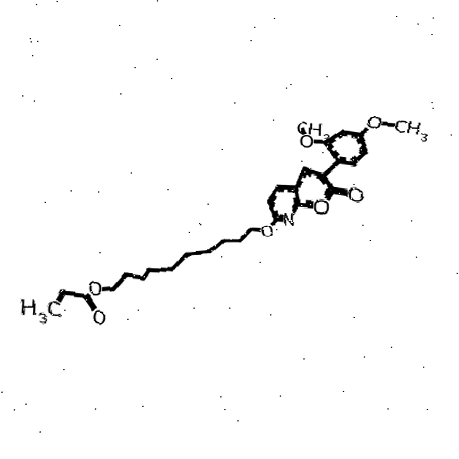 CCC(=O)OCCCCCCCCCCOc1ccc2cc(-c3ccc(OC)cc3OC)c(=O)oc2n1